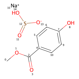 COC(=O)c1ccc(O)cc1.O=S([O-])O.[Na+]